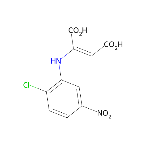 O=C(O)C=C(Nc1cc([N+](=O)[O-])ccc1Cl)C(=O)O